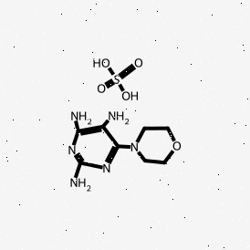 Nc1nc(N)c(N)c(N2CCOCC2)n1.O=S(=O)(O)O